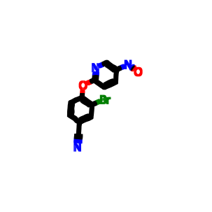 N#Cc1ccc(Oc2ccc(N=O)cn2)c(Br)c1